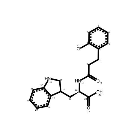 O=C(CCc1ccccc1Cl)N[C@H](CC1CNc2ccccc21)C(=O)O